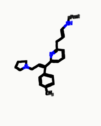 CCCCCNC=CCc1cccc(C(=CCN2CCCC2)c2ccc(C)cc2)n1